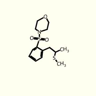 CSC(C)Cc1ccccc1S(=O)(=O)N1CCOCC1